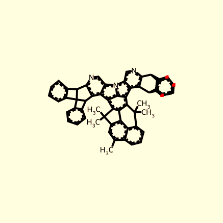 Cc1cc2c3c4c(cccc14)C(C)(C)c1c-3c(c3c4c5c(ncc4n4c6cnc7c(c6c1c34)C1c3ccccc3C7c3ccccc31)C1c3ccccc3C13c1ccccc1C53)C2(C)C